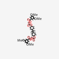 COc1cc(OC)cc(C(=O)OOC(=O)OC2CCC(C(C)(C)C3CCC(OC(=O)OOC(=O)c4cc(OC)cc(OC)c4)CC3)CC2)c1